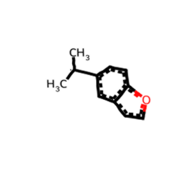 C[C](C)c1ccc2occc2c1